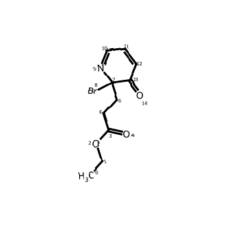 CCOC(=O)CCC1(Br)N=CC=CC1=O